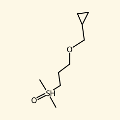 C[SH](C)(=O)CCCOCC1CC1